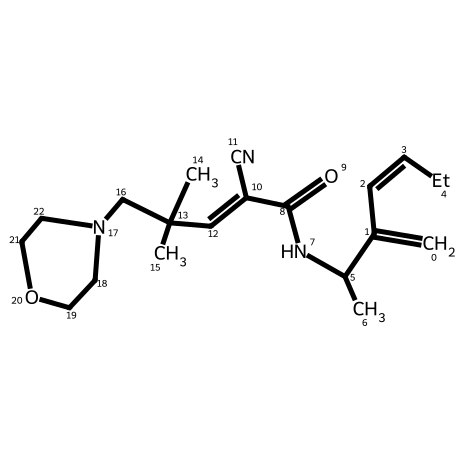 C=C(/C=C\CC)C(C)NC(=O)/C(C#N)=C/C(C)(C)CN1CCOCC1